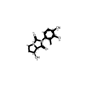 Cc1c(N2C(=O)C3[C@@H](O)CCN3C2=O)ccc(C#N)c1Cl